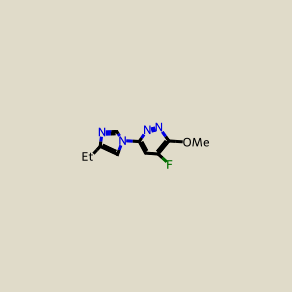 CCc1cn(-c2cc(F)c(OC)nn2)cn1